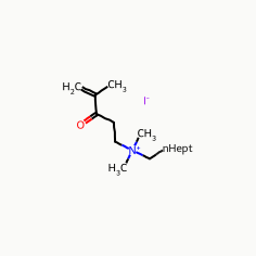 C=C(C)C(=O)CC[N+](C)(C)CCCCCCCC.[I-]